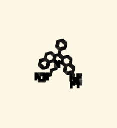 F[B-](F)(F)F.c1ccc(-c2c3c([n+](CCCn4ccnc4)c4c2CCc2ccccc2-4)-c2ccccc2CC3)cc1